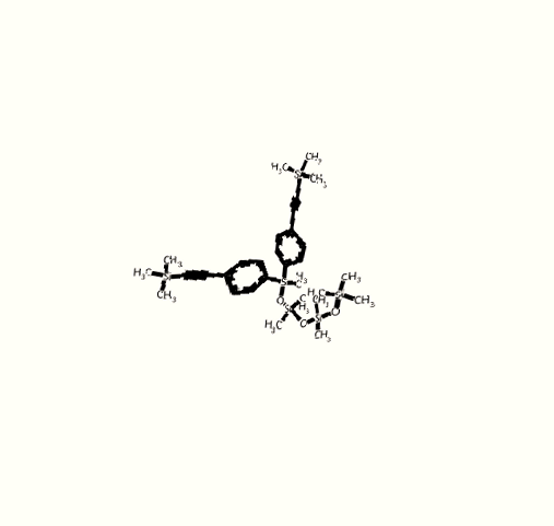 C[Si](C)(C)C#Cc1ccc([Si](C)(O[Si](C)(C)O[Si](C)(C)O[Si](C)(C)C)c2ccc(C#C[Si](C)(C)C)cc2)cc1